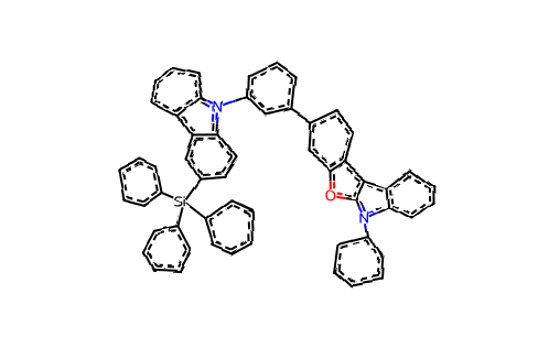 c1ccc(-n2c3ccccc3c3c4ccc(-c5cccc(-n6c7ccccc7c7cc([Si](c8ccccc8)(c8ccccc8)c8ccccc8)ccc76)c5)cc4oc32)cc1